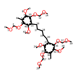 COCOc1c(C)c(OC)c(OCOC)c(CCCCCc2c(OC)c(OCOC)c(C)c(OC)c2OCOC)c1OC